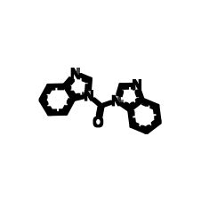 O=C(n1cnc2ccccc21)n1cnc2ccccc21